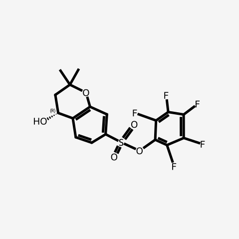 CC1(C)C[C@@H](O)c2ccc(S(=O)(=O)Oc3c(F)c(F)c(F)c(F)c3F)cc2O1